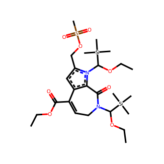 CCOC(=O)C1=CCN(C(OCC)[Si](C)(C)C)C(=O)c2c1cc(COS(C)(=O)=O)n2C(OCC)[Si](C)(C)C